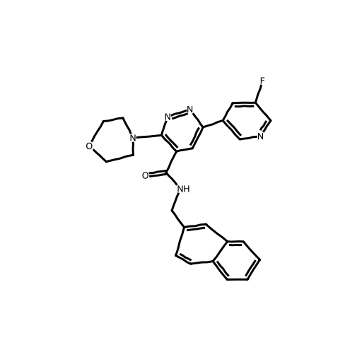 O=C(NCc1ccc2ccccc2c1)c1cc(-c2cncc(F)c2)nnc1N1CCOCC1